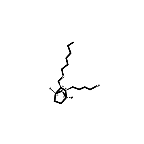 CCCCCCOC[C@H]1[C@@H](CCCCO)[C@H]2CC[C@@H]1O2